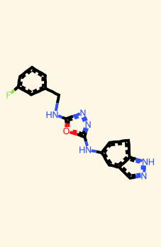 Fc1cccc(CNc2nnc(Nc3ccc4[nH]ncc4c3)o2)c1